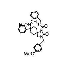 COc1ccc(CN2CC3(CCC(c4ccccc4)(N(C)C)CC3)N(C(=O)OCc3ccccc3)C2=O)cc1